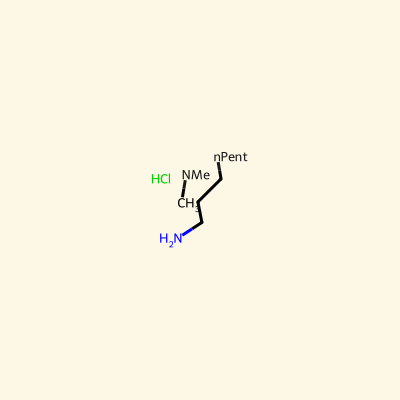 CCCCCCCCN.CNC.Cl